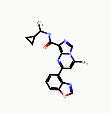 Cc1cc(-c2cccc3ocnc23)nc2c(C(=O)NC(C3CC3)C(F)(F)F)ncn12